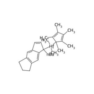 CCCC[C]1([Hf]([CH3])([CH3])[C]2(C)C(C)=C(C)C(C)=C2C)C=Cc2cc3c(cc21)CCC3